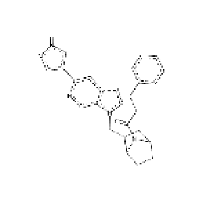 O=C(CCc1ccccc1)N1C2CCC1C(Cn1ccc3cc(-c4cn[nH]c4)ncc31)C2